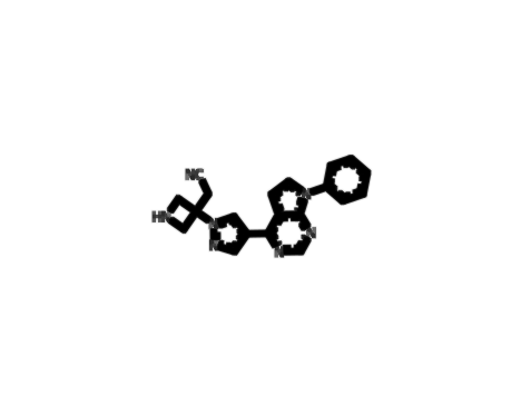 N#CCC1(n2cc(-c3ncnc4c3ccn4-c3ccccc3)cn2)CNC1